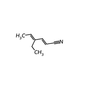 C/C=C(/C=C/C#N)CC